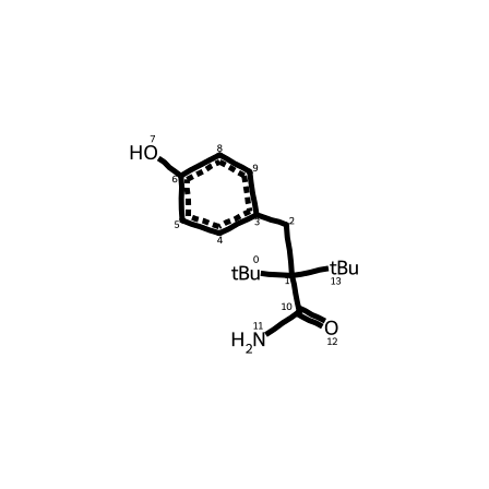 CC(C)(C)C(Cc1ccc(O)cc1)(C(N)=O)C(C)(C)C